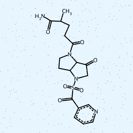 CC(C[CH]C(=O)N1CCC2C1C(=O)CN2S(=O)(=O)C(=O)c1cccnc1)C(N)=O